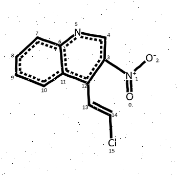 O=[N+]([O-])c1cnc2ccccc2c1C=CCl